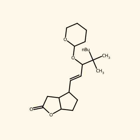 CCCCC(C)(C)C(/C=C/C1CCC2OC(=O)CC12)OC1CCCCO1